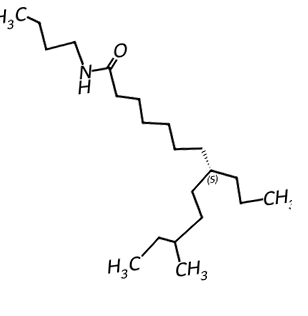 CCCCNC(=O)CCCCCC[C@H](CCC)CCC(C)CC